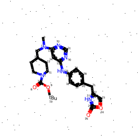 CN(CC1CCN(C(=O)OC(C)(C)C)CC1)c1cc(Nc2ccc(Cc3coc(=O)[nH]3)cc2)ncn1